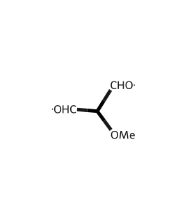 COC([C]=O)[C]=O